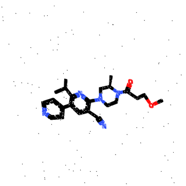 COCCC(=O)N1CCN(c2nc(C(C)C)c(-c3ccncc3)cc2C#N)C[C@H]1C